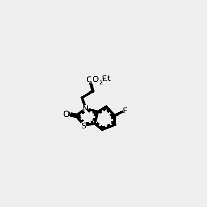 CCOC(=O)CCn1c(=O)sc2ccc(F)cc21